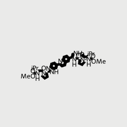 C=C(N/C(=C\N)c1ccc2nc(-c3ccc4nc([C@@H]5CCCN5C(=O)[C@@H](NC(=O)OC)C(C)C)[nH]c4c3)ccc2c1)[C@@H]1CCCN1C(=O)[C@@H](NC(=O)OC)C(C)C